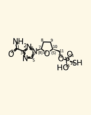 NC(=O)c1ncn([C@H]2CC[C@@H](COP(=O)(O)S)O2)n1